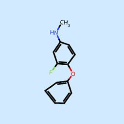 CNc1ccc(Oc2ccccc2)c(F)c1